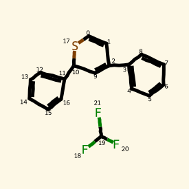 C1=CC(c2ccccc2)=CC(c2ccccc2)S1.FC(F)F